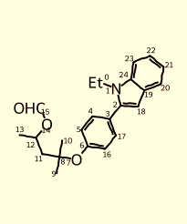 CCn1c(-c2ccc(OC(C)(C)CC(C)OC=O)cc2)cc2ccccc21